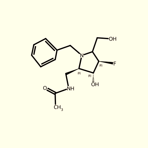 CC(=O)NC[C@@H]1[C@@H](O)[C@H](F)C(CO)N1Cc1ccccc1